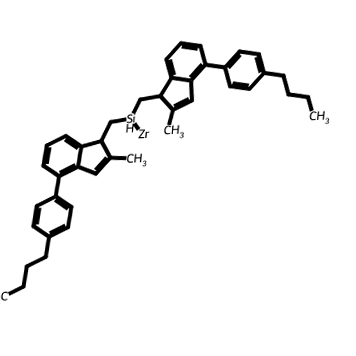 CCCCc1ccc(-c2cccc3c2C=C(C)C3C[SiH]([Zr])CC2C(C)=Cc3c(-c4ccc(CCCC)cc4)cccc32)cc1